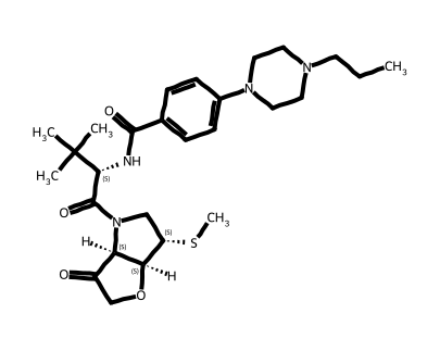 CCCN1CCN(c2ccc(C(=O)N[C@H](C(=O)N3C[C@H](SC)[C@H]4OCC(=O)[C@H]43)C(C)(C)C)cc2)CC1